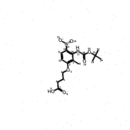 Cc1c(OCCCC(=O)O)ccc([N+](=O)[O-])c1NC(=O)OC(C)(C)C